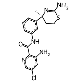 C[C@@]1(c2cccc(NC(=O)c3ncc(Cl)cc3N)c2)CCSC(N)=N1